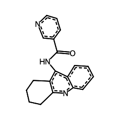 O=C(Nc1c2c(nc3ccccc13)CCCC2)c1cccnc1